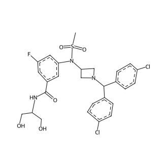 CS(=O)(=O)N(c1cc(F)cc(C(=O)NC(CO)CO)c1)C1CN(C(c2ccc(Cl)cc2)c2ccc(Cl)cc2)C1